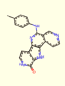 Cc1ccc(Nc2nc3c4cc[nH]c(=O)c4[nH]c3c3ccncc23)cc1